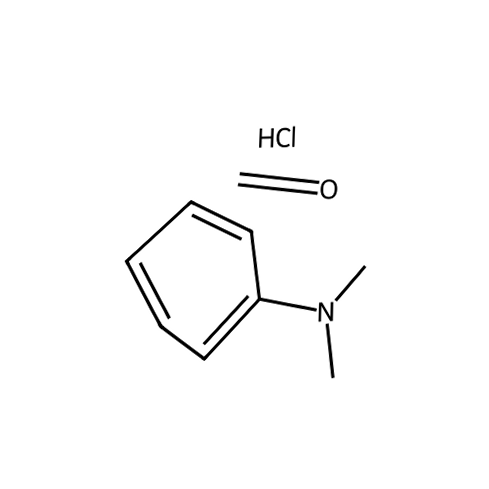 C=O.CN(C)c1ccccc1.Cl